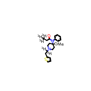 [2H]C([2H])([2H])CC(=O)N(c1ccccc1)C1(OC)CCN(C([2H])([2H])Cc2cccs2)CC1